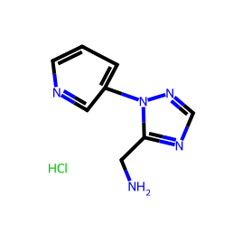 Cl.NCc1ncnn1-c1cccnc1